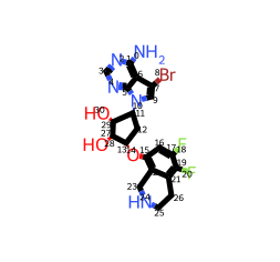 Nc1ncnc2c1c(Br)cn2[C@@H]1C[C@H](Oc2cc(F)c(F)c3c2CNCC3)[C@@H](O)[C@H]1O